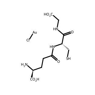 N[C@@H](CCC(=O)N[C@@H](CS)C(=O)NCC(=O)O)C(=O)O.[Cl][Au]